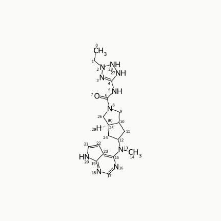 CCN1N=C(NC(=O)N2CC3CC(N(C)c4ncnc5[nH]ccc45)C[C@H]3C2)NN1